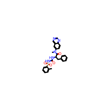 Cc1ccccc1S(=O)(=O)NC(=O)NC(Cc1ccccc1)C(=O)N(C)c1ccc2ncncc2c1